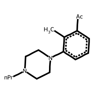 CCCN1CCN(c2cccc(C(C)=O)c2C)CC1